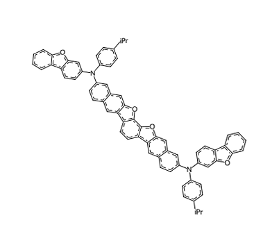 CC(C)c1ccc(N(c2ccc3cc4c(cc3c2)oc2c4ccc3c4cc5ccc(N(c6ccc(C(C)C)cc6)c6ccc7c(c6)oc6ccccc67)cc5cc4oc32)c2ccc3c(c2)oc2ccccc23)cc1